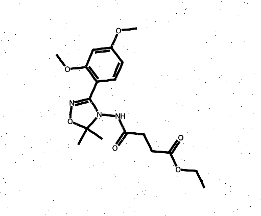 CCOC(=O)CCC(=O)NN1C(c2ccc(OC)cc2OC)=NOC1(C)C